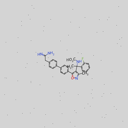 [CH2]C(NC(=O)O)(c1ccccc1F)c1c(C)noc1-c1ccc(-c2ccc(CC(=N)N)cc2)cc1